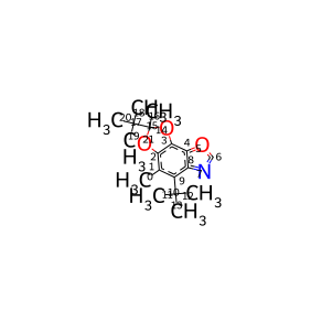 Cc1c2c(c3ocnc3c1C(C)(C)C)OC(C)(C(C)(C)C)O2